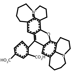 O=C(O)c1ccc(C2=c3cc4c5c(c3Oc3c2cc2c6c3CCCN6CCCC2)CCC[N+]=5CCCC4)c(C(=O)O)c1